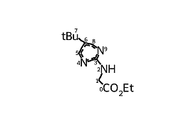 CCOC(=O)CNc1ncc(C(C)(C)C)cn1